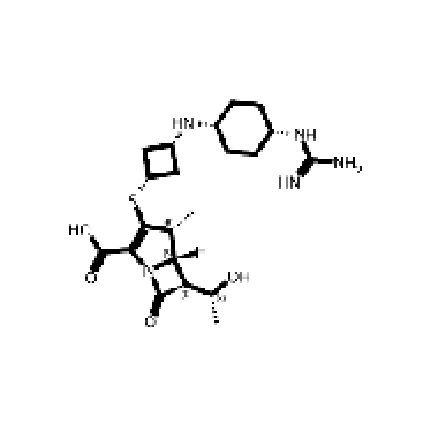 C[C@@H](O)[C@H]1C(=O)N2C(C(=O)O)=C(S[C@H]3C[C@@H](N[C@H]4CC[C@@H](NC(=N)N)CC4)C3)[C@H](C)[C@H]12